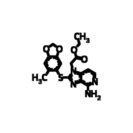 CCOC(=O)Cn1c(Sc2cc3c(cc2C)OCO3)nc2c(N)nccc21